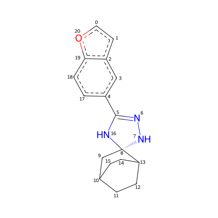 c1cc2cc(C3=NN[C@]4(CC5CCC4CC5)N3)ccc2o1